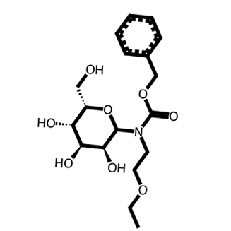 CCOCCN(C(=O)OCc1ccccc1)C1O[C@@H](CO)[C@@H](O)[C@H](O)[C@@H]1O